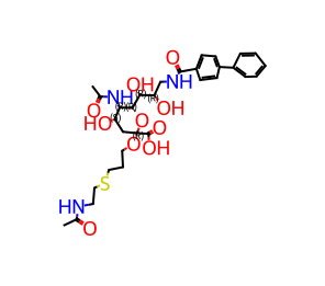 CC(=O)NCCSCCCO[C@]1(C(=O)O)C[C@H](O)[C@@H](NC(C)=O)[C@H]([C@H](O)[C@H](O)CNC(=O)c2ccc(-c3ccccc3)cc2)O1